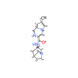 N#Cc1cc2cnc(C(=O)N[C@@H]3CC4CCN(C4)C3)cn2c1